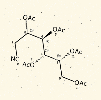 [C-]#[N+]C[C@H](OC(C)=O)[C@@H](OC(C)=O)[C@@H](OC(C)=O)[C@@H](COC(C)=O)OC(C)=O